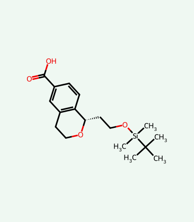 CC(C)(C)[Si](C)(C)OCC[C@@H]1OCCc2cc(C(=O)O)ccc21